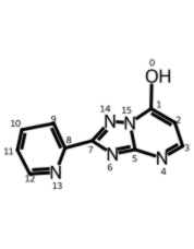 Oc1ccnc2nc(-c3ccccn3)nn12